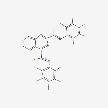 C/C(=N\c1c(C)c(C)c(C)c(C)c1C)c1cc2ccccc2c(/C(C)=N/c2c(C)c(C)c(C)c(C)c2C)n1